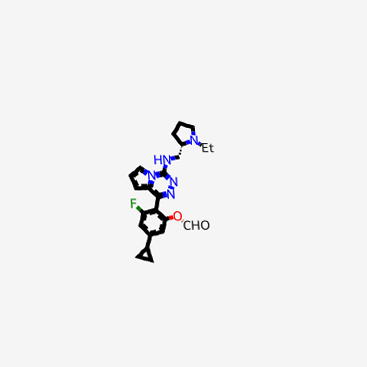 CCN1CCC[C@H]1CNc1nnc(-c2c(F)cc(C3CC3)cc2OC=O)c2cccn12